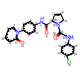 O=C(Nc1ccc(-n2ccccc2=O)cc1)[C@H]1C=CCN1C(=O)Nc1ccc(Cl)cc1